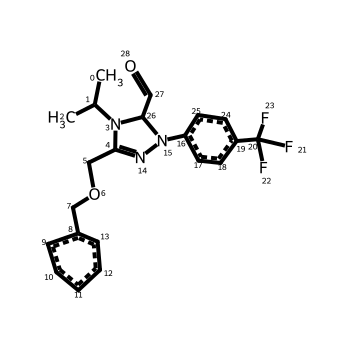 CC(C)N1C(COCc2ccccc2)=NN(c2ccc(C(F)(F)F)cc2)C1C=O